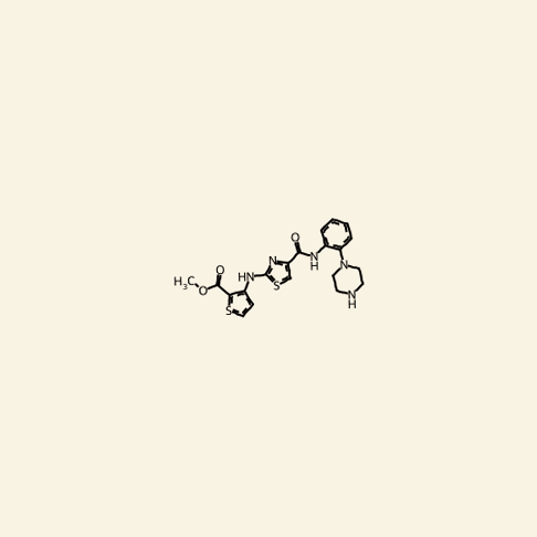 COC(=O)c1sccc1Nc1nc(C(=O)Nc2ccccc2N2CCNCC2)cs1